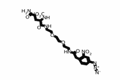 [N-]=[N+]=Nc1ccc(CC(=O)NCCOCCOCCNC(=O)C(CCC(N)=O)NC(=O)O)c([N+](=O)[O-])c1